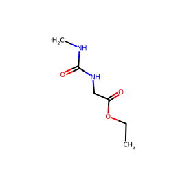 [CH2]NC(=O)NCC(=O)OCC